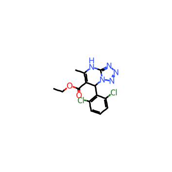 CCOC(=O)C1=C(C)Nc2nnnn2C1c1c(Cl)cccc1Cl